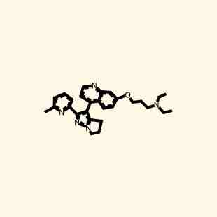 CCN(CC)CCCOc1ccc2c(-c3c(-c4cccc(C)n4)nn4c3CCC4)ccnc2c1